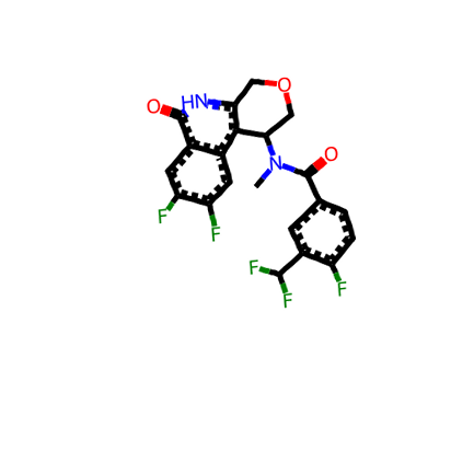 CN(C(=O)c1ccc(F)c(C(F)F)c1)C1COCc2[nH]c(=O)c3cc(F)c(F)cc3c21